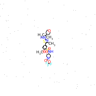 COc1ccc(-c2sc(NC(C)(C)C3CCOCC3)nc2C)cc1S(=O)(=O)NC1CCN(C(=O)OC(F)(F)F)CC1